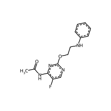 CC(=O)Nc1nc(OCCNc2ccccc2)ncc1F